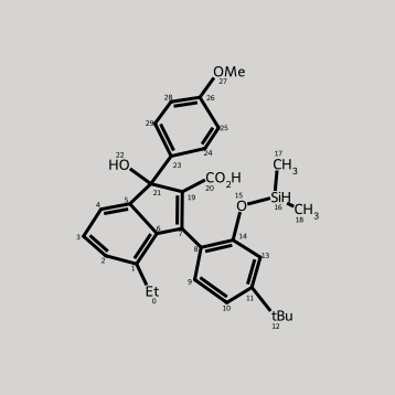 CCc1cccc2c1C(c1ccc(C(C)(C)C)cc1O[SiH](C)C)=C(C(=O)O)C2(O)c1ccc(OC)cc1